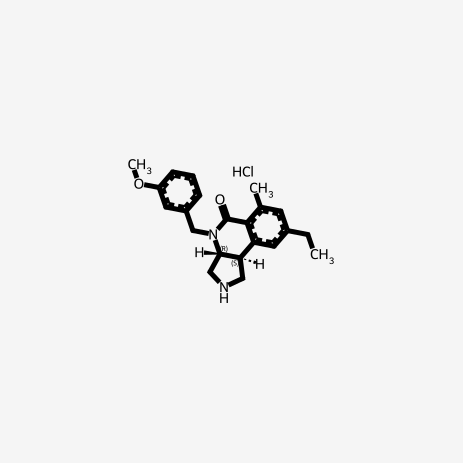 CCc1cc(C)c2c(c1)[C@H]1CNC[C@@H]1N(Cc1cccc(OC)c1)C2=O.Cl